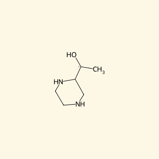 C[C](O)C1CNCCN1